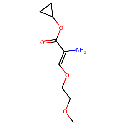 COCCOC=C(N)C(=O)OC1CC1